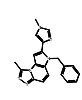 Cc1nnc2ccc3c(cc(-c4cn(C)cn4)n3Cc3ccccc3)n12